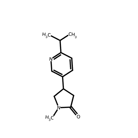 CC(C)c1ccc(C2CC(=O)N(C)C2)cn1